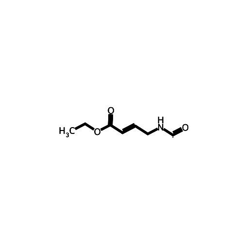 CCOC(=O)C=CCN[C]=O